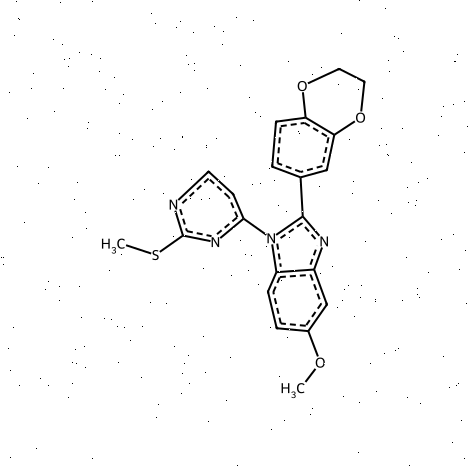 COc1ccc2c(c1)nc(-c1ccc3c(c1)OCCO3)n2-c1ccnc(SC)n1